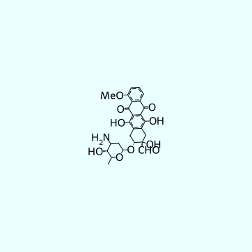 COc1cccc2c1C(=O)c1c(O)c3c(c(O)c1C2=O)C[C@@](O)(C=O)[C@H](OC1CC(N)[C@H](O)C(C)O1)C3